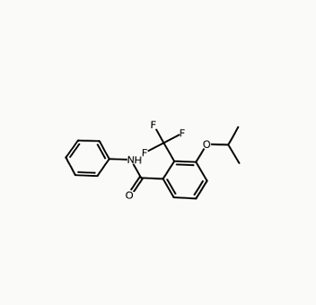 CC(C)Oc1cccc(C(=O)Nc2ccccc2)c1C(F)(F)F